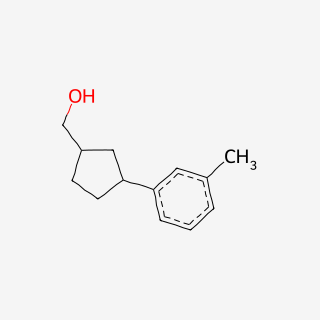 Cc1cccc(C2CCC(CO)C2)c1